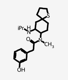 CC(C)NC1CC2(CCCS2)CCC1N(C)C(=O)Cc1cccc(O)c1